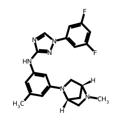 Cc1cc(Nc2ncn(-c3cc(F)cc(F)c3)n2)cc(N2C[C@H]3C[C@@H]2CN3C)c1